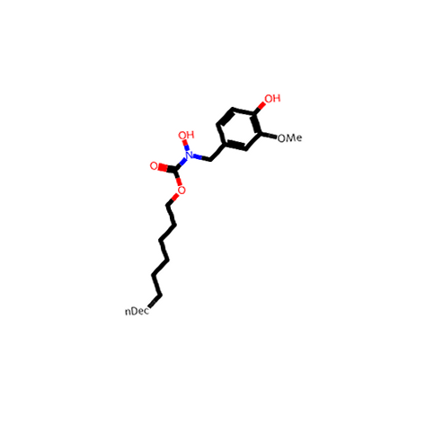 CCCCCCCCCCCCCCCCOC(=O)N(O)Cc1ccc(O)c(OC)c1